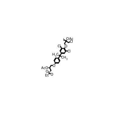 CCS(=O)(=O)C[C@H](COc1ccc(C(C)(C)c2cc(Cl)c(OCC(I)(CCl)OC(C)=O)c(Cl)c2)cc1)OC(C)=O